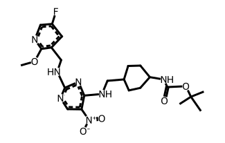 COc1ncc(F)cc1CNc1ncc([N+](=O)[O-])c(NCC2CCC(NC(=O)OC(C)(C)C)CC2)n1